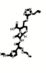 C=CCn1nnnc1SCC1=C(C(=O)O)N2C(=O)C(NC(=O)C(=NOCSC)c3csc(NC=O)n3)[C@@H]2SC1